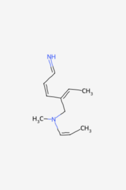 C/C=C\N(C)CC(/C=C\C=N)=C\C